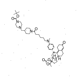 CC(=O)O[C@]1(C(C)=O)CC[C@H]2[C@@H]3CCC4=CC(=O)CCC4=C3[C@@H](c3ccc(N(C)CCCCCC(=O)N4CCC(CN5CCN(C(=O)OC(C)(C)C)CC5)CC4)cc3)C[C@@]21C